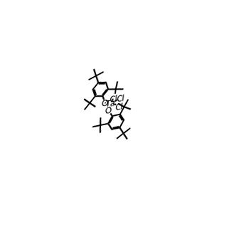 CC(C)(C)c1cc(C(C)(C)C)c([O][Ta]([Cl])([Cl])([Cl])[O]c2c(C(C)(C)C)cc(C(C)(C)C)cc2C(C)(C)C)c(C(C)(C)C)c1